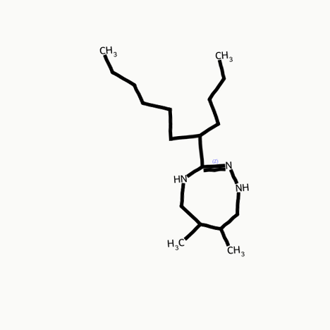 CCCCCCC(CCCC)/C1=N/NCC(C)C(C)CN1